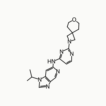 CC(C)n1cnc2cnc(Nc3ccnc(N4CC5(CCOCC5)C4)n3)cc21